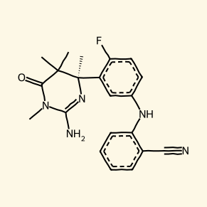 CN1C(=O)C(C)(C)[C@@](C)(c2cc(Nc3ccccc3C#N)ccc2F)N=C1N